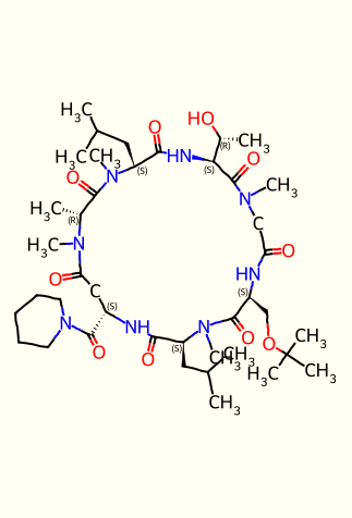 CC(C)C[C@H]1C(=O)N[C@H](C(=O)N2CCCCC2)CC(=O)N(C)[C@H](C)C(=O)N(C)[C@@H](CC(C)C)C(=O)N[C@@H]([C@@H](C)O)C(=O)N(C)CC(=O)N[C@@H](COC(C)(C)C)C(=O)N1C